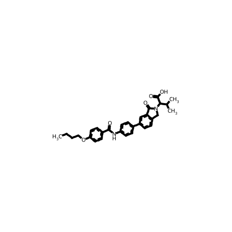 CCCCOc1ccc(C(=O)Nc2ccc(-c3ccc4c(c3)C(=O)N(C(C(=O)O)C(C)C)C4)cc2)cc1